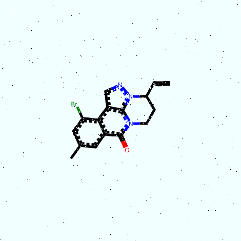 C=CC1CCn2c(=O)c3cc(C)cc(Br)c3c3cnn1c32